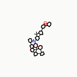 CC1(C)c2cc(-c3ccc4oc5ccccc5c4c3)ccc2-c2ccc(N(c3ccc(C4(c5ccccc5)c5ccccc5-c5ccccc5-c5ccccc54)cc3)c3ccccc3-c3ccccc3)cc21